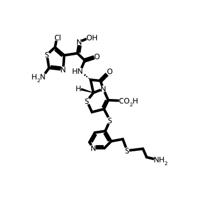 NCCSCc1cnccc1SC1=C(C(=O)O)N2C(=O)[C@@H](NC(=O)/C(=N\O)c3nc(N)sc3Cl)[C@H]2SC1